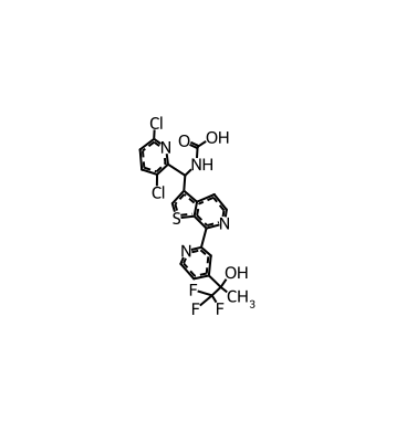 CC(O)(c1ccnc(-c2nccc3c(C(NC(=O)O)c4nc(Cl)ccc4Cl)csc23)c1)C(F)(F)F